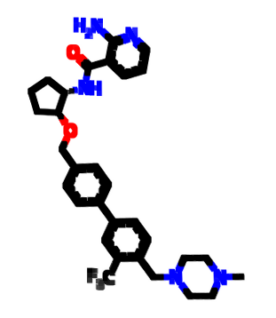 CN1CCN(Cc2ccc(-c3ccc(CO[C@H]4CCC[C@@H]4NC(=O)c4cccnc4N)cc3)cc2C(F)(F)F)CC1